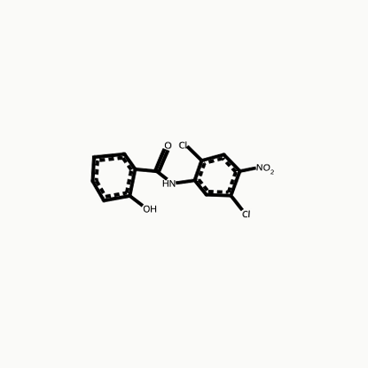 O=C(Nc1cc(Cl)c([N+](=O)[O-])cc1Cl)c1ccccc1O